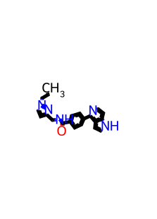 CCCn1ccc(CNC(=O)c2ccc(-c3nccc4[nH]ccc34)cc2)n1